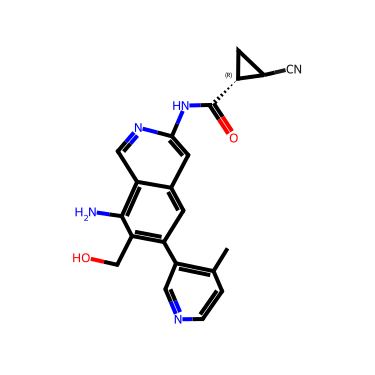 Cc1ccncc1-c1cc2cc(NC(=O)[C@@H]3CC3C#N)ncc2c(N)c1CO